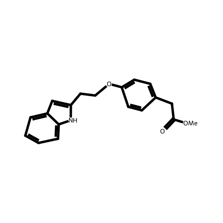 COC(=O)Cc1ccc(OCCc2cc3ccccc3[nH]2)cc1